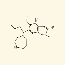 CCCC(c1nc2cc(F)c(F)cc2c(=O)n1CC)N1CCCNCC1